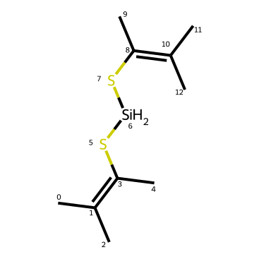 CC(C)=C(C)S[SiH2]SC(C)=C(C)C